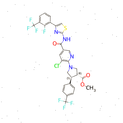 COC(=O)[C@H]1CN(c2ncc(C(=O)Nc3nc(-c4cccc(C(F)(F)F)c4F)cs3)cc2Cl)C[C@@H]1c1ccc(C(F)(F)F)cc1